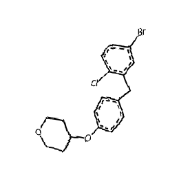 Clc1ccc(Br)cc1Cc1ccc(OC2CCOCC2)cc1